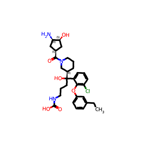 CCc1cccc(Oc2c(Cl)cccc2C(O)(CCCNC(=O)O)[C@@H]2CCCN(C(=O)[C@H]3C[C@@H](N)[C@@H](O)C3)C2)c1